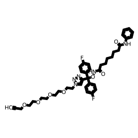 C#CCOCCOCCOCCOCCn1cc(C(ONC(=O)CCCCCCC(=O)Nc2ccccc2)(c2ccc(F)cc2)c2ccc(F)cc2)nn1